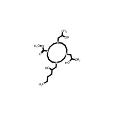 CCCCC(O)CN1CCCN(C(=O)OC)CCN(CC(C)O)CCCN(CC(C)O)CC1